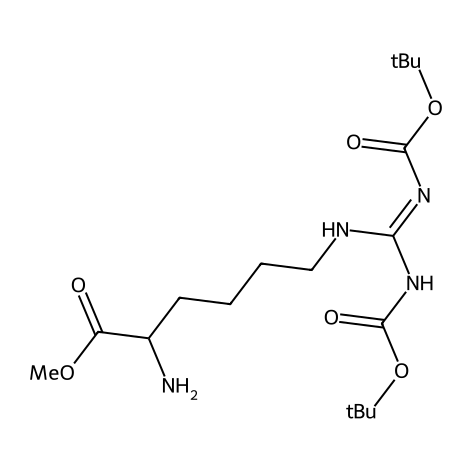 COC(=O)C(N)CCCCN/C(=N\C(=O)OC(C)(C)C)NC(=O)OC(C)(C)C